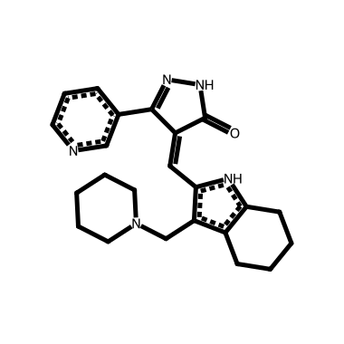 O=C1NN=C(c2cccnc2)C1=Cc1[nH]c2c(c1CN1CCCCC1)CCCC2